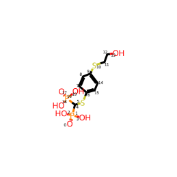 O=P(O)(O)C(Sc1ccc(SCCO)cc1)P(=O)(O)O